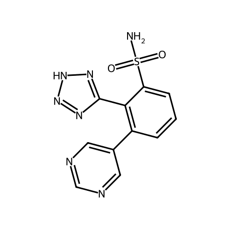 NS(=O)(=O)c1cccc(-c2cncnc2)c1-c1nn[nH]n1